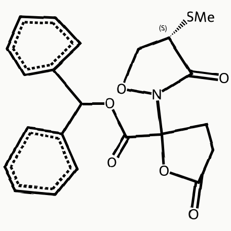 CS[C@H]1CON(C2(C(=O)OC(c3ccccc3)c3ccccc3)CCC(=O)O2)C1=O